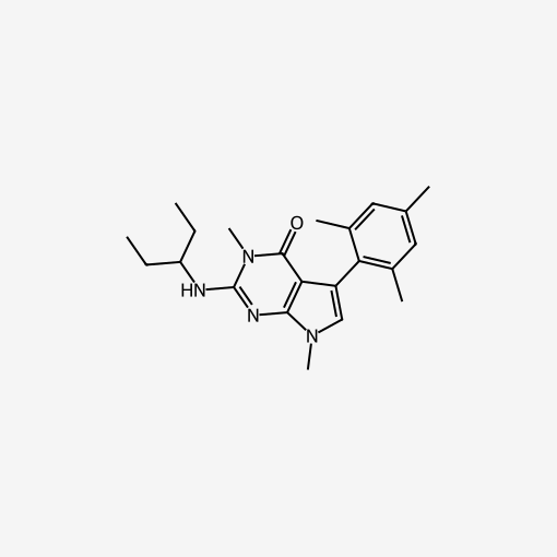 CCC(CC)Nc1nc2c(c(-c3c(C)cc(C)cc3C)cn2C)c(=O)n1C